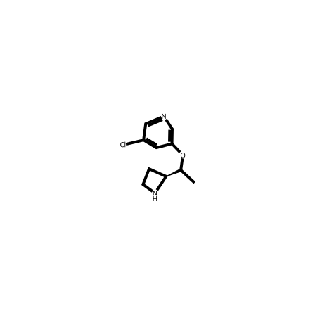 CC(Oc1cncc(Cl)c1)[C@@H]1CCN1